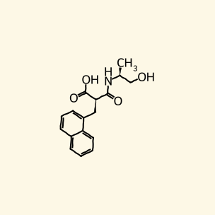 C[C@@H](CO)NC(=O)[C@@H](Cc1cccc2ccccc12)C(=O)O